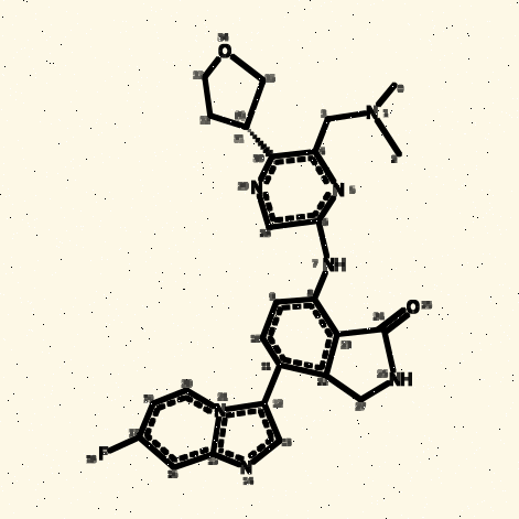 CN(C)Cc1nc(Nc2ccc(-c3cnc4cc(F)ccn34)c3c2C(=O)NC3)cnc1[C@@H]1CCOC1